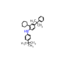 CC(C)(C)c1ccc(Nc2ccc(C(C)(C)c3ccccc3)cc2C2CCCCC2)cc1